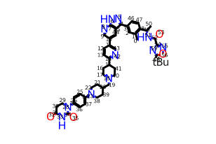 Cc1cc(-c2n[nH]c3ncc(-c4ccc(C5CCN(CC6CCN(c7ccc(N8CCC(=O)NC8=O)cc7)CC6)CC5)nc4)cc23)ccc1C(C)NC(=O)c1noc(C(C)(C)C)n1